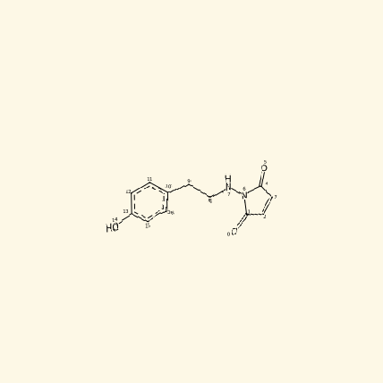 O=C1C=CC(=O)N1NCCc1ccc(O)cc1